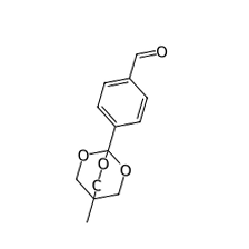 CC12COC(c3ccc(C=O)cc3)(OC1)OC2